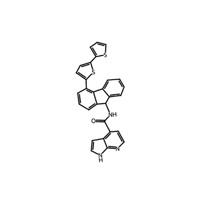 O=C(NC1c2ccccc2-c2c(-c3ccc(-c4cccs4)s3)cccc21)c1ccnc2[nH]ccc12